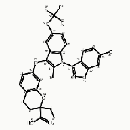 CCC1(C(=O)O)CCc2ccc(Oc3c(C)n(-c4noc5cc(Cl)ccc45)c4ccc(OC(F)(F)F)cc34)cc2O1